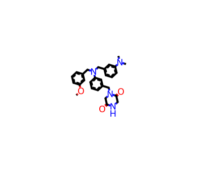 COc1cccc(CN(Cc2cccc(N(C)C)c2)c2cccc(CN3CC(=O)NCC3=O)c2)c1